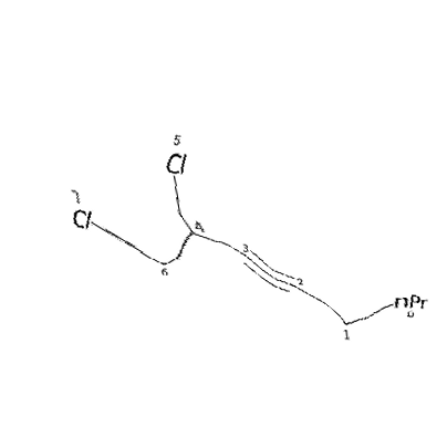 CCCCC#CC(Cl)CCl